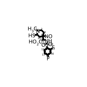 CN1CCC(N=O)(C(NS(=O)(=O)c2ccc(F)cc2F)C(=O)O)CC1S